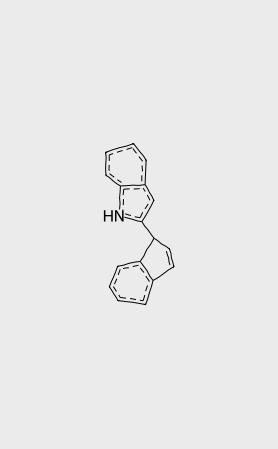 C1=CC(c2cc3ccccc3[nH]2)c2ccccc21